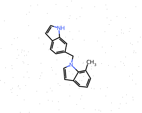 Cc1cccc2ccn(Cc3ccc4cc[nH]c4c3)c12